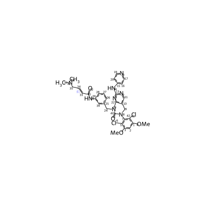 COc1cc(OC)c(Cl)c(N2Cc3cnc(Nc4ccncc4)nc3N(Cc3cccc(NC(=O)/C=C/CN(C)C)c3)C2=O)c1Cl